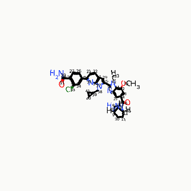 COc1cc(C(=O)N2C[C@H]3CC[C@@H]2[C@@H]3N)cc2nc(-c3cc4ccc(-c5ccc(C(N)=O)c(Cl)c5)nc4n3CC3CC3)n(C)c12